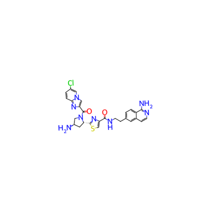 Nc1nccc2cc(CCNC(=O)c3csc([C@@H]4C[C@@H](N)CN4C(=O)c4cn5cc(Cl)ccc5n4)n3)ccc12